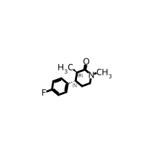 C[C@H]1C(=O)N(C)CC[C@@H]1c1ccc(F)cc1